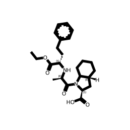 CCOC(=O)[C@H](CCc1ccccc1)N[C@H](C)C(=O)N1C2CCCC[C@@H]2C[C@H]1C(=O)O